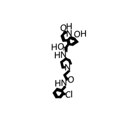 O=C(CCN1CCC(NC[C@H](O)c2ccc(O)c3[nH]c(=O)ccc23)CC1)NCc1ccccc1Cl